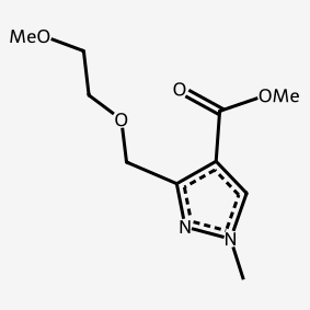 COCCOCc1nn(C)cc1C(=O)OC